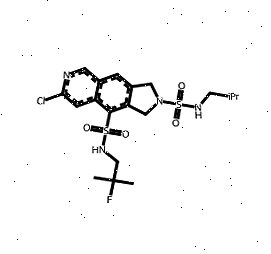 CC(C)CNS(=O)(=O)N1Cc2cc3cnc(Cl)cc3c(S(=O)(=O)NCC(C)(C)F)c2C1